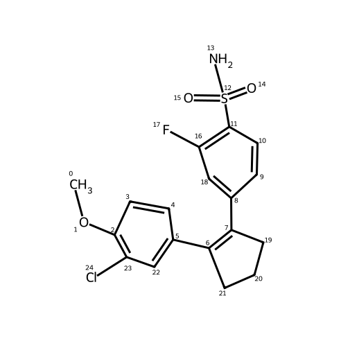 COc1ccc(C2=C(c3ccc(S(N)(=O)=O)c(F)c3)CCC2)cc1Cl